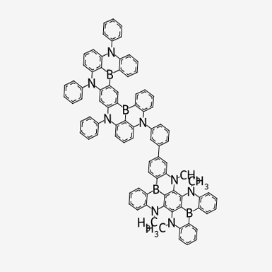 CN1c2ccccc2B2c3ccccc3N(C)c3c2c1c1c2c3N(C)c3cc(-c4cccc(N5c6ccccc6B6c7cc8c(cc7N(c7ccccc7)c7cccc5c76)N(c5ccccc5)c5cccc6c5B8c5ccccc5N6c5ccccc5)c4)ccc3B2c2ccccc2N1C